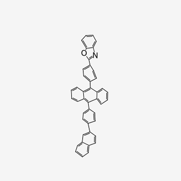 c1ccc2cc(-c3ccc(-c4c5ccccc5c(-c5ccc(-c6nc7ccccc7o6)cc5)c5ccccc45)cc3)ccc2c1